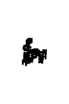 Cc1c([C@H](Nc2cc(Cl)cc3c(NCC(C)(C)C)c(C#N)cnc23)c2cn(C3(C(F)(F)F)CC3)nn2)cccc1-n1ccnc1